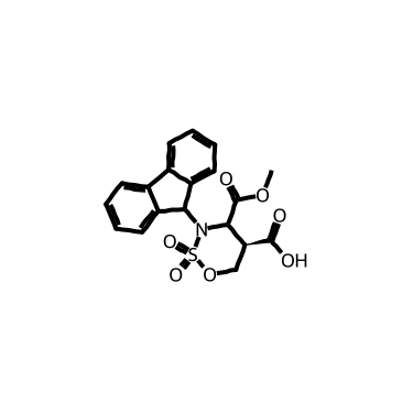 COC(=O)C1[C@@H](C(=O)O)COS(=O)(=O)N1C1c2ccccc2-c2ccccc21